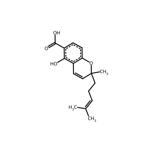 CC(C)=CCCC1(C)C=Cc2c(ccc(C(=O)O)c2O)O1